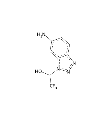 Nc1ccc2nnn(C(O)C(F)(F)F)c2c1